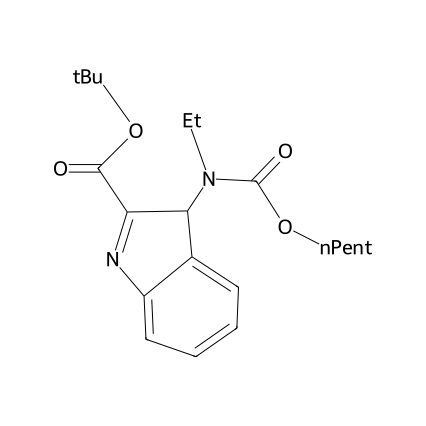 CCCCCOC(=O)N(CC)C1C(C(=O)OC(C)(C)C)=Nc2ccccc21